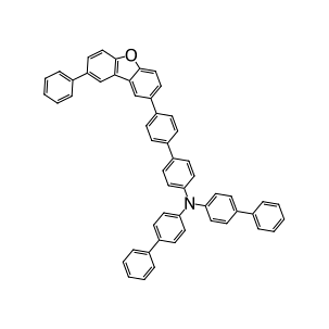 c1ccc(-c2ccc(N(c3ccc(-c4ccccc4)cc3)c3ccc(-c4ccc(-c5ccc6oc7ccc(-c8ccccc8)cc7c6c5)cc4)cc3)cc2)cc1